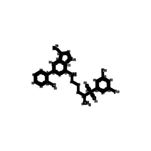 CN(CCCNc1cc(-c2ccccc2Cl)nc2c(Br)cnn12)S(=O)(=O)c1cc(F)cc(F)c1